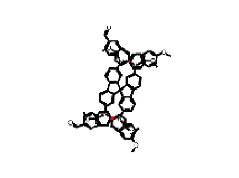 COc1ccc(N(c2ccc(C=O)cc2)c2ccc3c(c2)C2(c4cc(N(c5ccc(C=O)cc5)c5ccc(OC)cc5)ccc4-3)c3cc(N(c4ccc(OC)cc4)c4ccc(OC)cc4)ccc3-c3ccc(N(c4ccc(OC)cc4)c4ccc(OC)cc4)cc32)cc1